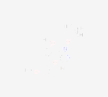 COc1ccc(COc2c(Br)cnc3c2c(-c2ccccc2OC)cn3COCC[Si](C)(C)C)cc1